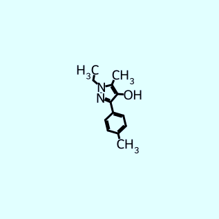 CCn1nc(-c2ccc(C)cc2)c(O)c1C